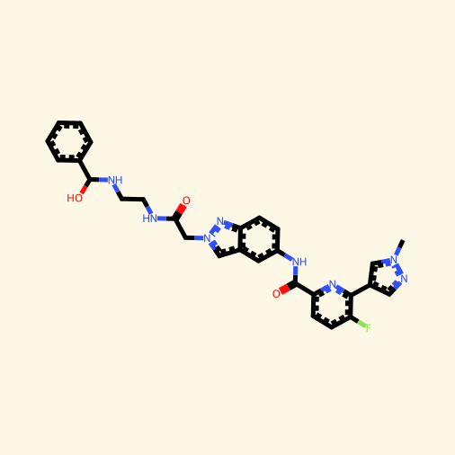 Cn1cc(-c2nc(C(=O)Nc3ccc4nn(CC(=O)NCCNC(O)c5ccccc5)cc4c3)ccc2F)cn1